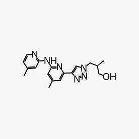 Cc1ccnc(Nc2cc(C)cc(-c3cn(C[C@@H](C)CO)nn3)n2)c1